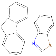 c1ccc2c(c1)Cc1ccccc1-2.c1ccc2scnc2c1